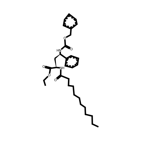 CCCCCCCCCCCC(=O)N[C@H](C[C@@H](NC(=O)OCc1ccccc1)c1ccccc1)C(=O)OCC